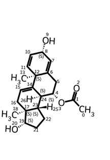 CC(=O)O[C@H]1CC2=C[C@@H](O)C=C[C@]2(C)C2=CC[C@]3(C)[C@@H](O)CC[C@H]3[C@@H]21